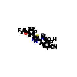 CCN(C(=O)O)[C@@H](Cc1ccc(C#N)cc1)c1nnc(-c2cccc(OC(F)(F)F)c2)s1